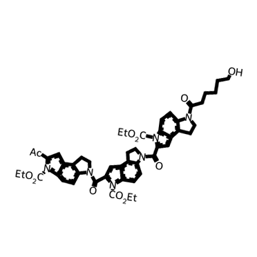 CCOC(=O)n1c(C(=O)N2CCc3c2ccc2c3cc(C(=O)N3CCc4c3ccc3c4cc(C(C)=O)n3C(=O)OCC)n2C(=O)OCC)cc2c3c(ccc21)N(C(=O)CCCCCO)CC3